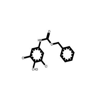 O=Cc1c(Cl)cc(NC(=O)OCc2ccccc2)cc1Cl